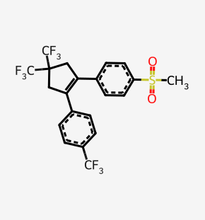 CS(=O)(=O)c1ccc(C2=C(c3ccc(C(F)(F)F)cc3)CC(C(F)(F)F)(C(F)(F)F)C2)cc1